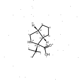 CC(C)(C)[C@@]1(C(=O)O)NC[C@@H]2CCC[C@@H]21